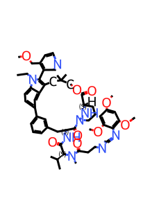 CCn1c(-c2cnccc2COC)c2c3cc(ccc31)-c1cccc(c1)C[C@H](NC(=O)[C@H](C(C)C)N(C)C(=O)CCN=C=Nc1c(OC)cc(OC)cc1OC)C(=O)N1CCC[C@H](N1)C(=O)OCC(C)(C)C2